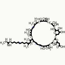 CNC(=N)NCCC/C=C/CCCC(C)CC(C)C1OC(=O)C(C)C(O)/C=C/C(C)C(O)CC(O)C(C)C(O)CCC(C)C(O)CC2(O)OC(CC(OC(=O)CC(=O)O)CC(O)CC(O)C(C)C(O)/C=C/C=C/C1C)CC(O)C2O